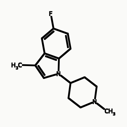 Cc1cn(C2CCN(C)CC2)c2ccc(F)cc12